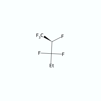 [CH2]CC(F)(F)[C@H](F)C(F)(F)F